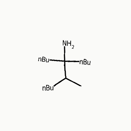 CCCCC(C)C(N)(CCCC)CCCC